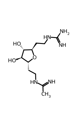 CC(=N)NCC[C@H]1O[C@H](CCNC(=N)N)[C@@H](O)[C@@H]1O